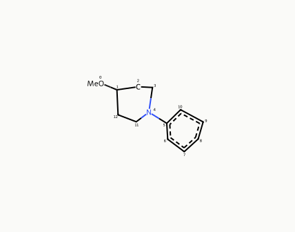 COC1CCN(c2ccccc2)CC1